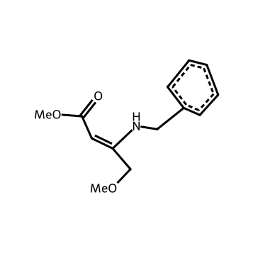 COC/C(=C/C(=O)OC)NCc1ccccc1